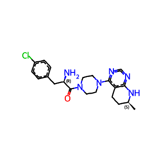 C[C@H]1CCc2c(ncnc2N2CCN(C(=O)[C@H](N)Cc3ccc(Cl)cc3)CC2)N1